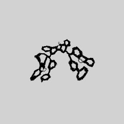 c1ccc(-c2cccc(C(c3cc4c5cc(C(c6cccc(-c7ccccc7)c6)c6cccc7c6oc6ccccc67)c6ccccc6c5sc4c4ccccc34)c3cccc4c3oc3ccccc34)c2)cc1